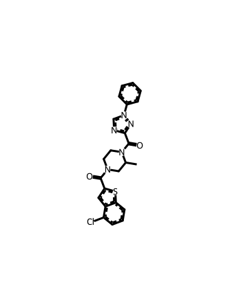 CC1CN(C(=O)c2cc3c(Cl)cccc3s2)CCN1C(=O)c1ncn(-c2ccccc2)n1